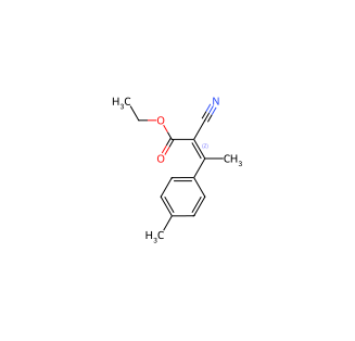 CCOC(=O)/C(C#N)=C(/C)c1ccc(C)cc1